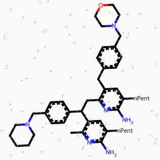 CCCCCc1cc(C(Cc2nc(N)c(CCCCC)cc2Cc2ccc(CN3CCOCC3)cc2)c2ccc(CN3CCCCC3)cc2)c(C)nc1N